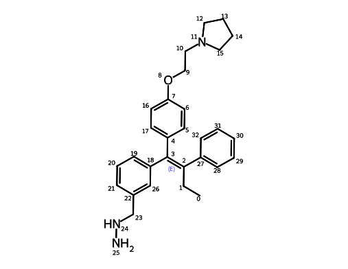 CC/C(=C(/c1ccc(OCCN2CCCC2)cc1)c1cccc(CNN)c1)c1ccccc1